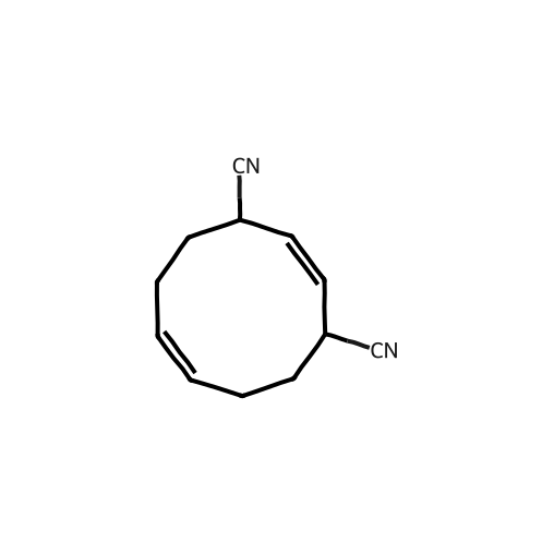 N#CC1C=CC(C#N)CCC=CCC1